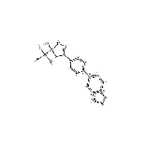 OC1(C(F)(F)Cl)CC(c2ccc(-c3ccc4cc[nH]c4c3)cc2)=NO1